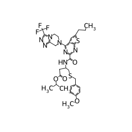 CCCc1cc2c(N3CCn4c(nnc4C(F)(F)F)C3)nc(C(=O)NC(CSCc3ccc(OC)cc3)CC(=O)OC(C)C)nc2s1